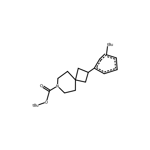 CC(C)(C)OC(=O)N1CCC2(CC1)CC(c1cccc(C(C)(C)C)c1)C2